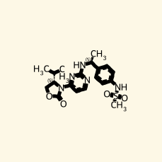 CC(C)[C@H]1COC(=O)N1c1ccnc(N[C@@H](C)c2ccc(NS(C)(=O)=O)cc2)n1